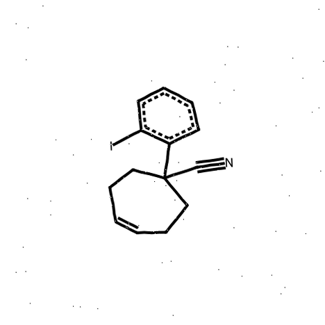 N#CC1(c2ccccc2I)CCC=CCC1